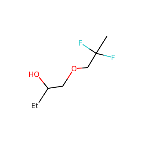 CCC(O)COCC(C)(F)F